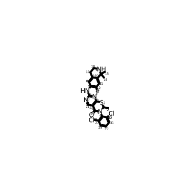 CC1Sc2nc(Nc3cc4c(cc3F)C(C)(C)NCC4)ncc2C(=O)N1c1c(Cl)cccc1Cl